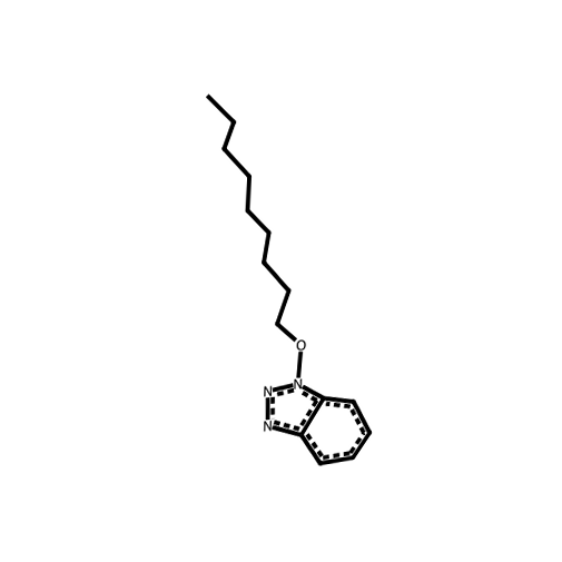 CCCCCCCCCOn1nnc2ccccc21